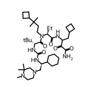 CC[C@@H](C(=O)NC(CC1CCC1)C(=O)C(N)=O)N(CCC(C)(C)C1CCC1)C(=O)[C@H](NC(=O)N[C@H](CN1CCN(C)C(C)(C)C1)C1CCCCC1)C(C)(C)C